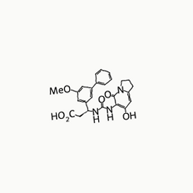 COc1cc(-c2ccccc2)cc([C@H](CC(=O)O)NC(=O)Nc2c(O)cc3n(c2=O)CCC3)c1